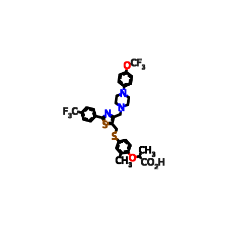 Cc1cc(SCc2sc(-c3ccc(C(F)(F)F)cc3)nc2CN2CCN(c3ccc(OC(F)(F)F)cc3)CC2)ccc1OC(C)C(=O)O